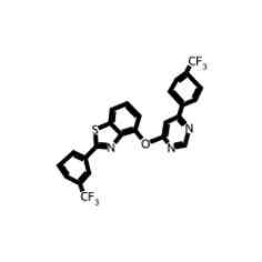 FC(F)(F)c1ccc(-c2cc(Oc3cccc4sc(-c5cccc(C(F)(F)F)c5)nc34)ncn2)cc1